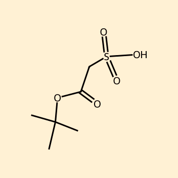 CC(C)(C)OC(=O)CS(=O)(=O)O